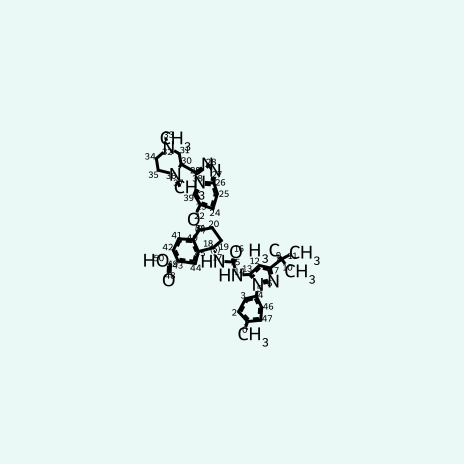 Cc1ccc(-n2nc(C(C)(C)C)cc2NC(=O)N[C@H]2CC[C@@H](Oc3ccc4nnc(C5CN(C)CCN5C)n4c3)c3ccccc32)cc1.O=CO